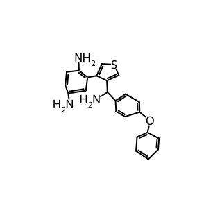 Nc1ccc(N)c(-c2cscc2C(N)c2ccc(Oc3ccccc3)cc2)c1